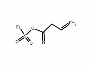 C=CCC(=O)OS(=O)(=O)CC